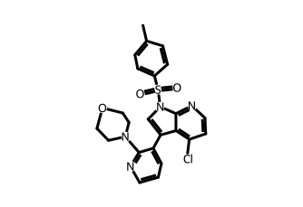 Cc1ccc(S(=O)(=O)n2cc(-c3cccnc3N3CCOCC3)c3c(Cl)ccnc32)cc1